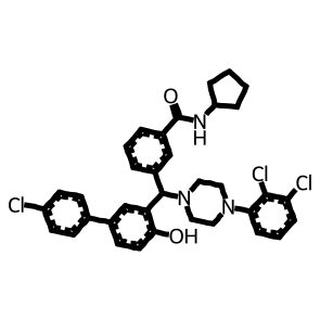 O=C(NC1CCCC1)c1cccc(C(c2cc(-c3ccc(Cl)cc3)ccc2O)N2CCN(c3cccc(Cl)c3Cl)CC2)c1